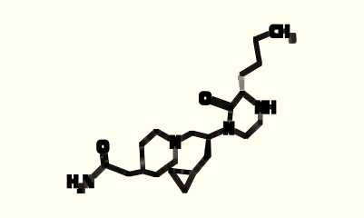 CCCC[C@@H]1NCCN([C@@H](CC2CC2)CN2CCC(CC(N)=O)CC2)C1=O